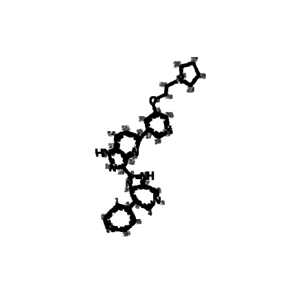 c1cc(-c2cncc3[nH]c(-c4n[nH]c5ccc(-c6cncc(OCCN7CCCC7)c6)nc45)nc23)ccn1